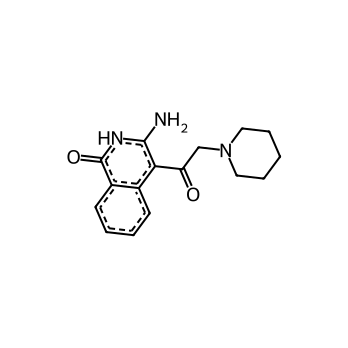 Nc1[nH]c(=O)c2ccccc2c1C(=O)CN1CCCCC1